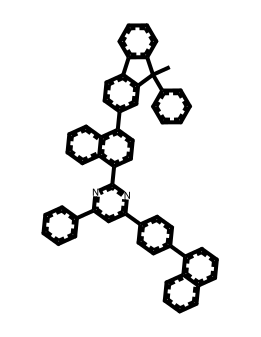 CC1(c2ccccc2)c2ccccc2-c2ccc(-c3ccc(-c4nc(-c5ccccc5)cc(-c5ccc(-c6cccc7ccccc67)cc5)n4)c4ccccc34)cc21